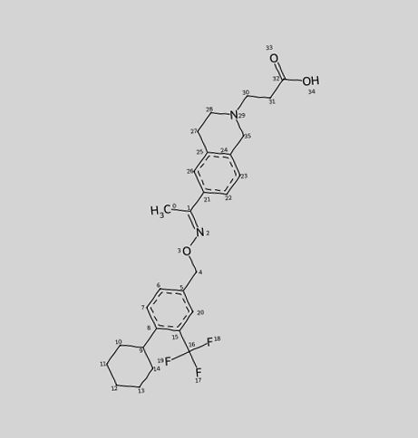 CC(=NOCc1ccc(C2CCCCC2)c(C(F)(F)F)c1)c1ccc2c(c1)CCN(CCC(=O)O)C2